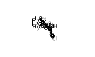 CCCCC(Oc1ccc(C(C)(C)CC)cc1C(C)(C)CC)C(=O)Nc1ccc(CSc2ccc(Cl)cc2)cc1O